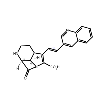 O=C(O)C1=C(/C=C/c2cnc3ccccc3c2)C2CCN[C@@H]3C(=O)N1[C@H]23